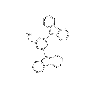 OCc1cc(-n2c3ccccc3c3ccccc32)cc(-n2c3ccccc3c3ccccc32)c1